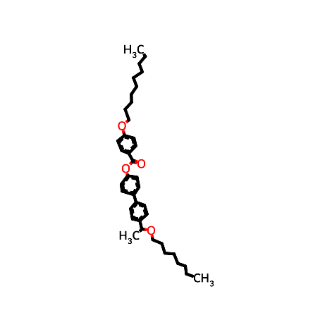 CCCCCCCCCCOc1ccc(C(=O)Oc2ccc(-c3ccc(C(C)OCCCCCCCC)cc3)cc2)cc1